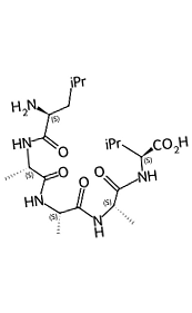 CC(C)C[C@H](N)C(=O)N[C@@H](C)C(=O)N[C@@H](C)C(=O)N[C@@H](C)C(=O)N[C@H](C(=O)O)C(C)C